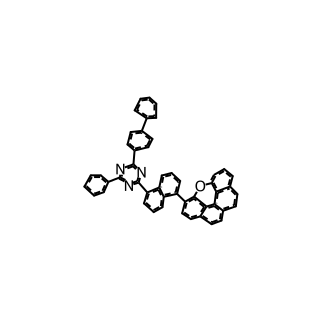 c1ccc(-c2ccc(-c3nc(-c4ccccc4)nc(-c4cccc5c(-c6ccc7ccc8ccc9cccc%10c9c8c7c6O%10)cccc45)n3)cc2)cc1